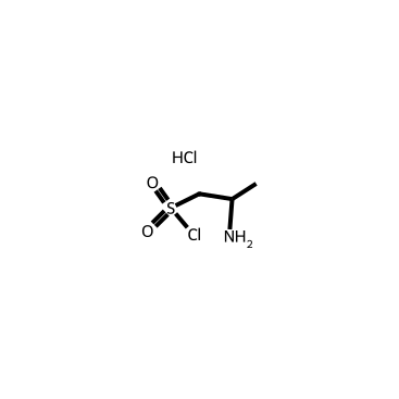 CC(N)CS(=O)(=O)Cl.Cl